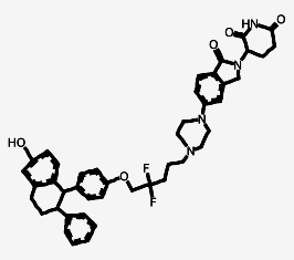 O=C1CCC(N2Cc3cc(N4CCN(CCCC(F)(F)COc5ccc(C6c7ccc(O)cc7CCC6c6ccccc6)cc5)CC4)ccc3C2=O)C(=O)N1